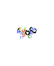 CN(c1cc(F)c(S(=O)(=O)Nc2nccs2)cc1Cl)[C@]12CCCCN1CCC2